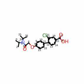 CC(C)N(C(=O)COc1ccc(-c2ccc(C(=O)O)cc2Cl)cc1)C(C)C